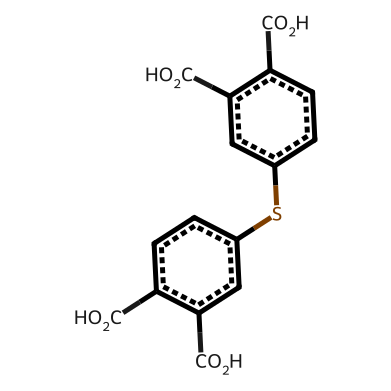 O=C(O)c1ccc(Sc2ccc(C(=O)O)c(C(=O)O)c2)cc1C(=O)O